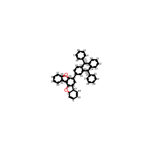 C1=CC2Oc3c(cc(-c4ccc5c(-c6ccccc6)c6ccccc6c(-c6ccccc6)c5c4)c4oc5ccccc5c34)C2C=C1